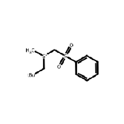 C[S+](CC(C)(C)C)CS(=O)(=O)c1ccccc1